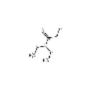 CCC(=O)N(CN)CN